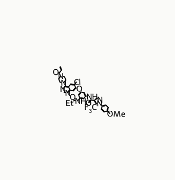 C=CC(=O)N1CCN(c2ncnc3cc(Oc4cc(NC(=O)CC)cc(NC(=O)c5cnn(-c6ccc(OC)cc6)c5C(F)(F)F)c4)c(Cl)cc23)CC1